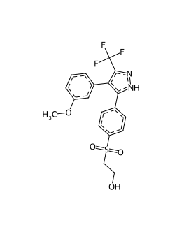 COc1cccc(-c2c(C(F)(F)F)n[nH]c2-c2ccc(S(=O)(=O)CCO)cc2)c1